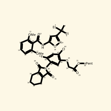 CCC(C)(CC)c1cc(NC(=O)c2c(OC)cccc2OC)on1.CCCCCOC(=O)COc1cc(N2C(=O)C3=C(CCCC3)C2=O)c(F)cc1Cl